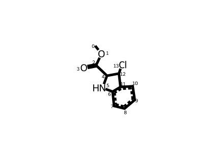 COC(=O)C1Nc2ccccc2C1Cl